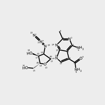 Cc1nc(N)c2c(C(N)=O)cn([C@@H]3O[C@H](CO)[C@@H](O)C3N=[N+]=[N-])c2n1